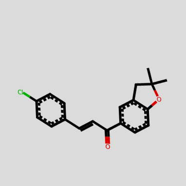 CC1(C)Cc2cc(C(=O)C=Cc3ccc(Cl)cc3)ccc2O1